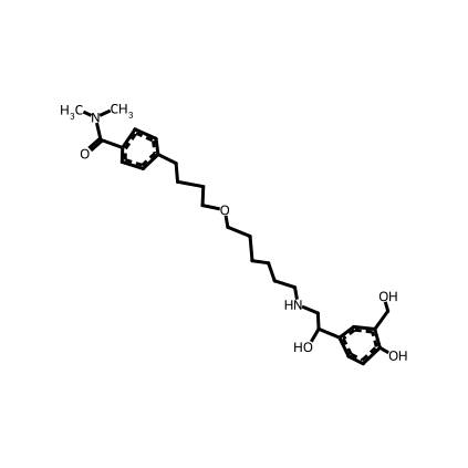 CN(C)C(=O)c1ccc(CCCCOCCCCCCNCC(O)c2ccc(O)c(CO)c2)cc1